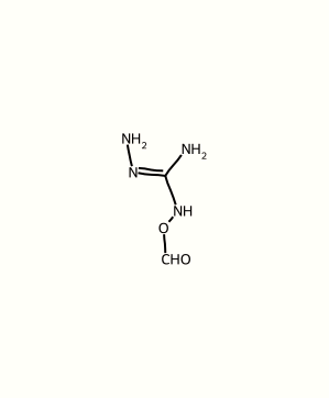 NN=C(N)NOC=O